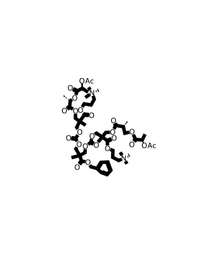 CC(=O)O[C@@H](C)C(=O)OC[C@@H](C)C(=O)OCC(C)(COC(=O)OCC(C)(COC(=O)OCC(C)(COC(=O)[C@H](C)OC(=O)[C@H](C)OC(C)=O)C(=O)OCCC[N+](C)(C)C)C(=O)OCc1ccccc1)C(=O)OCCC[N+](C)(C)C